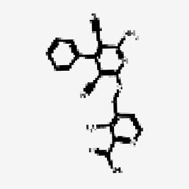 Cc1c(COc2nc(N)c(C#N)c(-c3ccccc3)c2C#N)ccnc1C(N)=O